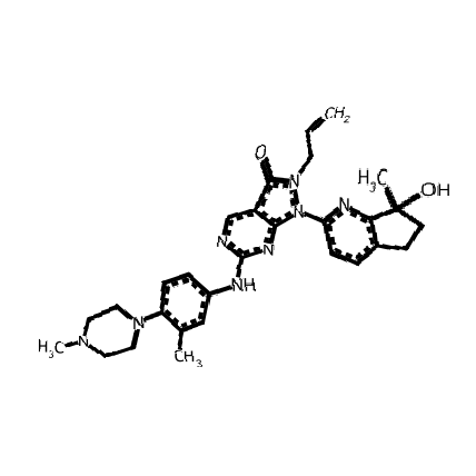 C=CCn1c(=O)c2cnc(Nc3ccc(N4CCN(C)CC4)c(C)c3)nc2n1-c1ccc2c(n1)C(C)(O)CC2